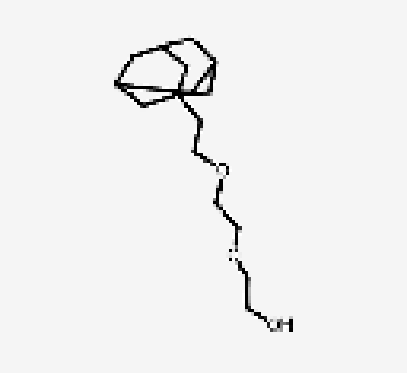 OCCOCCOCCC12CC3CC(CC(C3)C1)C2